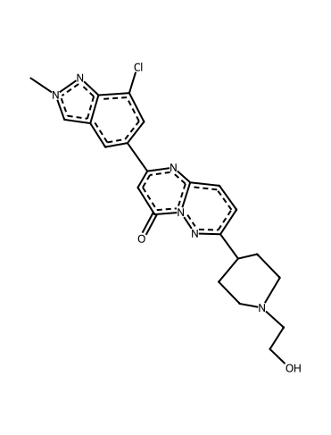 Cn1cc2cc(-c3cc(=O)n4nc(C5CCN(CCO)CC5)ccc4n3)cc(Cl)c2n1